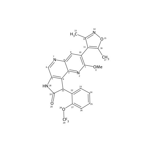 COc1nc2c3c(cnc2cc1-c1c(C)noc1C)NC(=O)C3c1ccccc1OC(F)(F)F